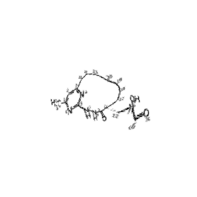 Cc1cc2nc(n1)NNC(=O)[C@@H](CN(O)C=O)CCCCCCC2